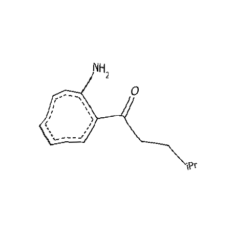 CC(C)CCC(=O)c1ccccc1N